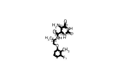 Cc1c(F)cccc1OC[C@@H](C)NC(=O)c1[nH]c(=O)[nH]c(=O)c1N